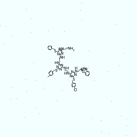 CC(=O)N(CCNc1nc(NCCNc2nc(NCCNc3nc(NCCN)nc(SCc4ccccc4)n3)nc(SCc3ccc(C)cc3)n2)nc(SCc2ccc(Cl)cc2)n1)Cc1ccccc1[N+](=O)[O-]